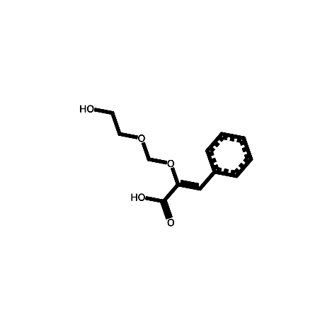 O=C(O)C(=Cc1ccccc1)OCOCCO